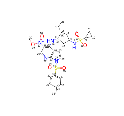 CC[C@@H]1CC(NS(=O)(=O)C2CC2)C[C@@H]1Nc1c([N+](=O)OC)cnc2c1ccn2S(=O)(=O)c1ccc(C)cc1